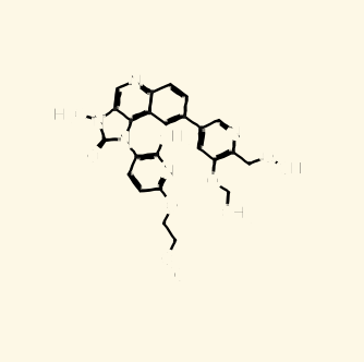 CCOc1cc(-c2ccc3ncc4c(c3c2)n(-c2ccc(OCCOC)nc2C)c(=O)n4C)cnc1COC